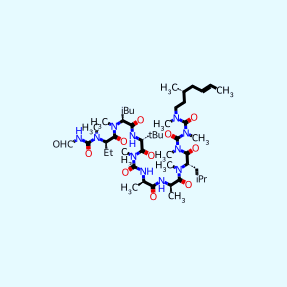 C/C=C/C[C@@H](C)CCN(C)C(=O)N(C)C(=O)N(C)C(=O)[C@H](CC(C)C)N(C)C(=O)[C@@H](C)NC(=O)[C@@H](C)NC(=O)N(C)C(=O)[C@H](NC(=O)[C@H](C(C)CC)N(C)C(=O)[C@@H](CC)N(C)C(=O)NC=O)C(C)(C)C